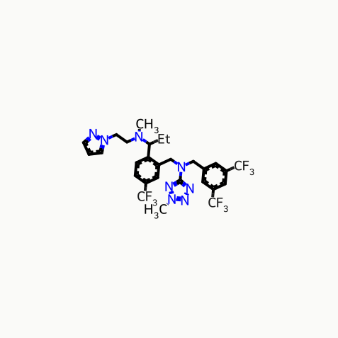 CCC(c1ccc(C(F)(F)F)cc1CN(Cc1cc(C(F)(F)F)cc(C(F)(F)F)c1)c1nnn(C)n1)N(C)CCn1cccn1